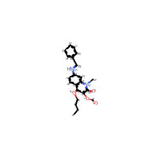 CCCCOc1c(OC=O)c(=O)n(C)c2cc(NCc3ccccc3)ccc12